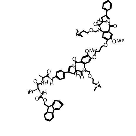 COc1cc2c(cc1OCCCOc1cc3c(cc1OC)C(=O)N1C=C(c4ccc(NC(=O)[C@H](C)NC(=O)[C@@H](NC(=O)OCC5c6ccccc6-c6ccccc65)C(C)C)cc4)C[C@H]1C(=O)N3COCC[Si](C)(C)C)N(COCC[Si](C)(C)C)C(=O)[C@@H]1CC(c3ccc(F)cc3)=CN1C2=O